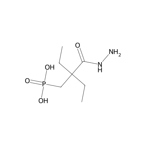 CCC(CC)(CP(=O)(O)O)C(=O)NN